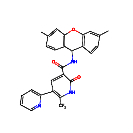 Cc1ccc2c(c1)Oc1cc(C)ccc1C2NC(=O)c1cc(-c2ccccn2)c(C(F)(F)F)[nH]c1=O